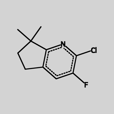 CC1(C)CCc2cc(F)c(Cl)nc21